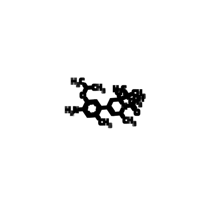 Cc1cc(N)c(OC(C)C)cc1C1=CC(C)N(C(=O)O)C(C)(C(C)(C)C)C1